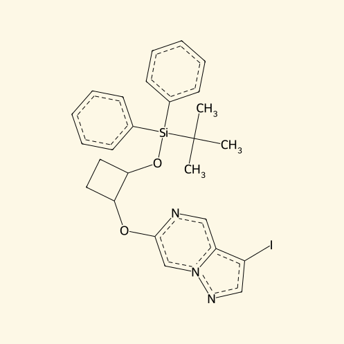 CC(C)(C)[Si](OC1CCC1Oc1cn2ncc(I)c2cn1)(c1ccccc1)c1ccccc1